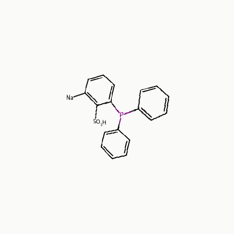 O=S(=O)(O)c1[c]([Na])cccc1P(c1ccccc1)c1ccccc1